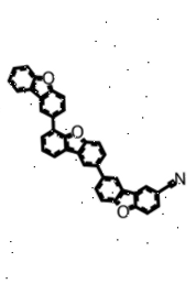 N#Cc1ccc2oc3ccc(-c4ccc5oc6c(-c7ccc8oc9ccccc9c8c7)cccc6c5c4)cc3c2c1